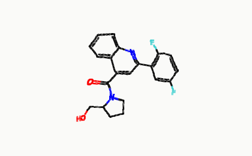 O=C(c1cc(-c2cc(F)ccc2F)nc2ccccc12)N1CCCC1CO